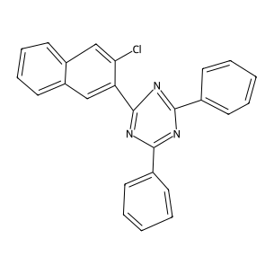 Clc1cc2ccccc2cc1-c1nc(-c2ccccc2)nc(-c2ccccc2)n1